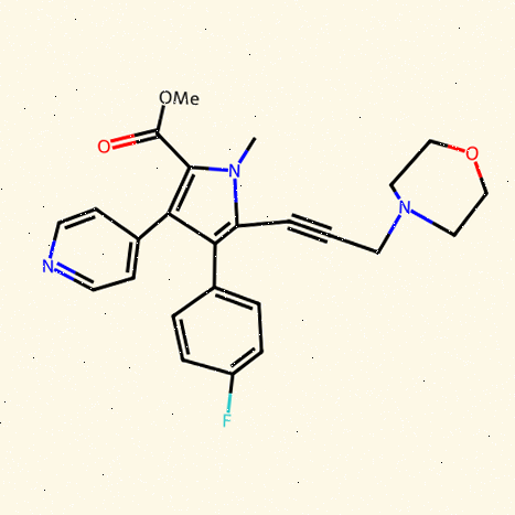 COC(=O)c1c(-c2ccncc2)c(-c2ccc(F)cc2)c(C#CCN2CCOCC2)n1C